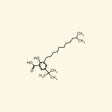 CC(C)CCCCCCCCCc1cc(C(C)(C)C)cc(C(=O)O)c1O